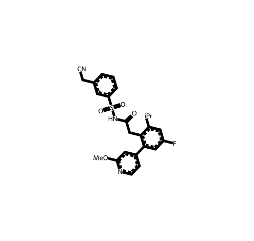 COc1cc(-c2cc(F)cc(C(C)C)c2CC(=O)NS(=O)(=O)c2cccc(CC#N)c2)ccn1